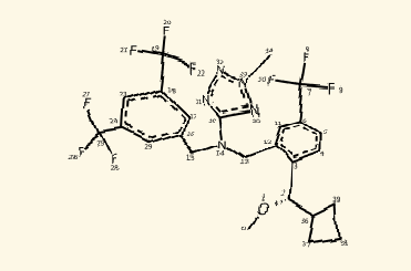 CO[C@H](c1ccc(C(F)(F)F)cc1CN(Cc1cc(C(F)(F)F)cc(C(F)(F)F)c1)c1nnn(C)n1)C1CCC1